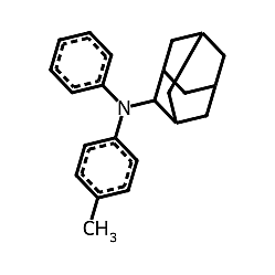 Cc1ccc(N(c2ccccc2)C2C3CC4CC(C3)CC2C4)cc1